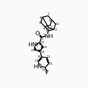 O=C(NC1C2CC3CC(C2)CC1C3)c1cc(C2=CNC(F)C=C2)c[nH]1